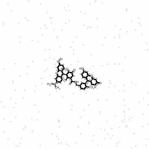 CC/N=c1\ccc2c(-c3c(Cl)c(C(=O)NCc4ccc(C(=O)O)c(-c5c6ccc(=O)cc-6oc6cc(O)ccc56)c4)cc(Cl)c3C(=O)O)c3ccc(N(C)C)cc3oc-2c1